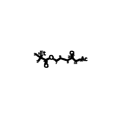 CCC(C)(C)C(=O)OCCCC(=O)CC(C)=O